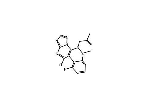 C=C(C)CN(CC)c1c(-c2c(F)cccc2Cl)c(Cl)nc2ncnn12